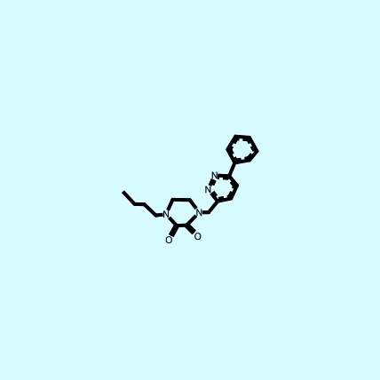 CCCCN1CCN(Cc2ccc(-c3ccccc3)nn2)C(=O)C1=O